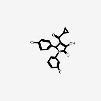 O=C(C1=C(O)C(=O)N(c2cccc(Cl)c2)C1c1ccc(Cl)cc1)C1CC1